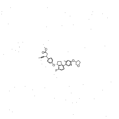 CC#CC(CC(=O)OC)c1ccc(O[C@@H]2CCc3c(-c4cnc(OC5CCOC5)cc4C)ccc(F)c32)cc1